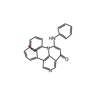 O=c1cc(Nc2ccccc2)n(-c2ccccc2)c2c(-c3cccnc3)cncc12